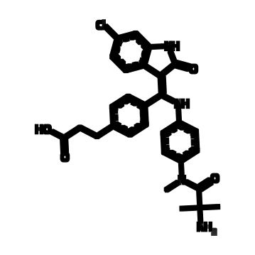 CN(C(=O)C(C)(C)N)c1ccc(N/C(=C2\C(=O)Nc3cc(Cl)ccc32)c2ccc(CCC(=O)O)cc2)cc1